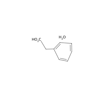 O.O=C(O)Cc1ccccc1